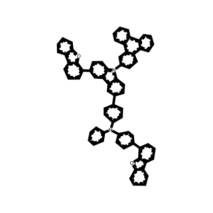 c1ccc(N(c2ccc(-c3ccc4c(c3)c3cc(-c5cccc6c5oc5ccccc56)ccc3n4-c3ccc4c5ccccc5c5ccccc5c4c3)cc2)c2ccc(-c3cccc4c3oc3ccccc34)cc2)cc1